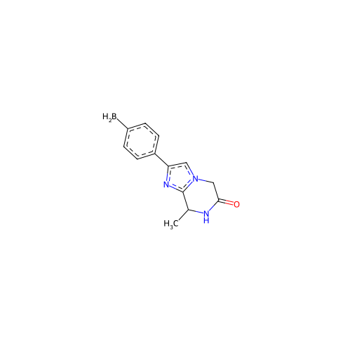 Bc1ccc(-c2cn3c(n2)C(C)NC(=O)C3)cc1